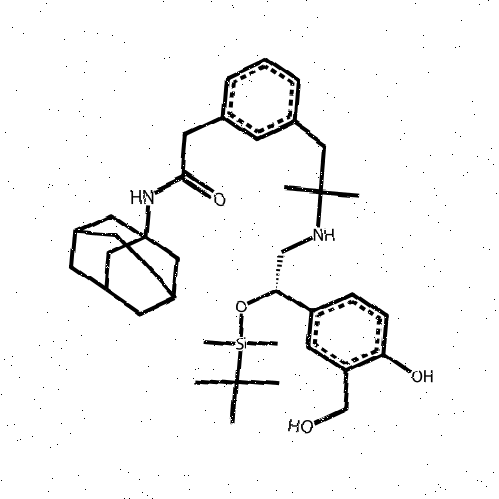 CC(C)(Cc1cccc(CC(=O)NC23CC4CC(CC(C4)C2)C3)c1)NC[C@@H](O[Si](C)(C)C(C)(C)C)c1ccc(O)c(CO)c1